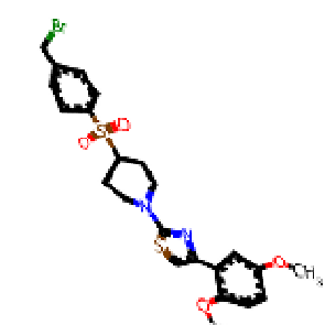 COc1ccc(OC)c(-c2csc(N3CCC(S(=O)(=O)c4ccc(CBr)cc4)CC3)n2)c1